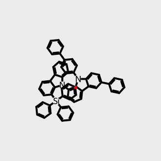 c1ccc(-c2ccc(-n3c4ccc(-c5ccccc5)cc4c4cccc(-n5c6ccccc6c6cccc([Si](c7ccccc7)(c7ccccc7)c7ccccc7)c65)c43)cc2)cc1